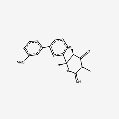 CCC[C@H]1C(=O)N(C)C(=N)N[C@]1(C)c1cccc(-c2cccc(OC)c2)c1